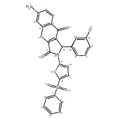 Nc1ccc2c(=O)c3c(oc2c1)C(=O)N(c1ncc(S(=O)(=O)c2ccccc2)s1)C3c1cccc(Cl)c1